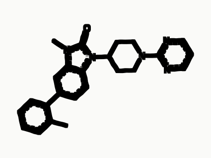 Cc1ccccc1-c1ccc2c(c1)n(C)c(=O)n2C1CCN(c2ncccn2)CC1